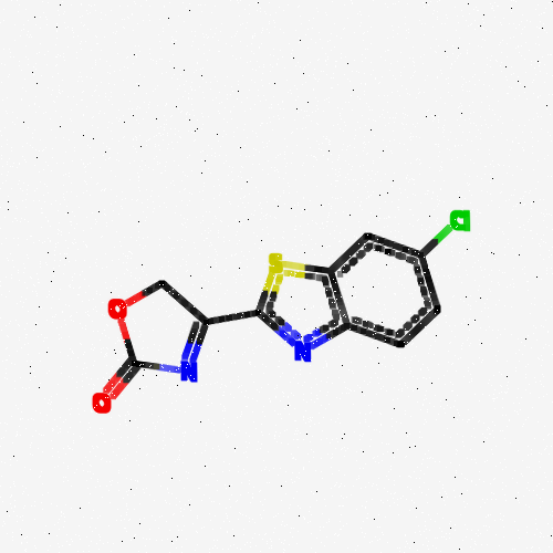 O=C1N=C(c2nc3ccc(Cl)cc3s2)CO1